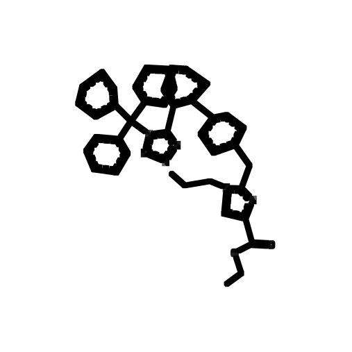 CCCn1cc(C(=O)OCC)nc1Cc1ccc(-c2ccccc2-c2nnnn2C(c2ccccc2)(c2ccccc2)c2ccccc2)cc1